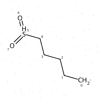 [CH2]CCCC[SH](=O)=O